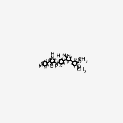 COc1ccc(-c2cnc(N)c(-c3ccc(N(F)c4c[nH]cc(-c5ccc(F)cc5)c4=O)cc3)c2)cc1OC